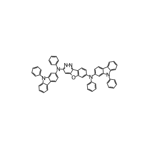 c1ccc(N(c2ccc3c(c2)oc2cc(N(c4ccccc4)c4ccc5c6ccccc6n(-c6ccccc6)c5c4)nnc23)c2ccc3c4ccccc4n(-c4ccccc4)c3c2)cc1